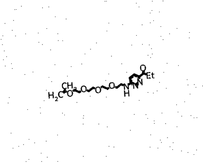 C=C(C)OCCOCCOCCOCCNc1ccc(C(=O)CC)nn1